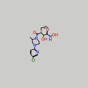 CC(C)C[C@H](C(=O)N1CCN(c2ccc(Cl)cn2)CC1C)C(O)C(=O)NO